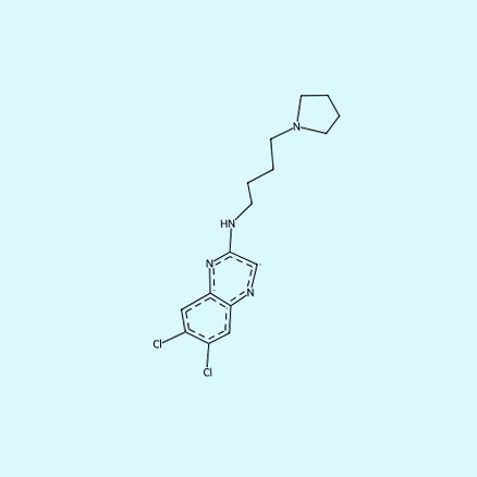 Clc1cc2n[c]c(NCCCCN3CCCC3)nc2cc1Cl